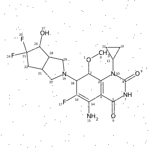 COC1c2c(c(=O)[nH]c(=O)n2C2CC2)C(N)=C(F)C1N1CC2CC(F)(F)C(O)C2C1